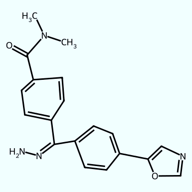 CN(C)C(=O)c1ccc(/C(=N\N)c2ccc(-c3cnco3)cc2)cc1